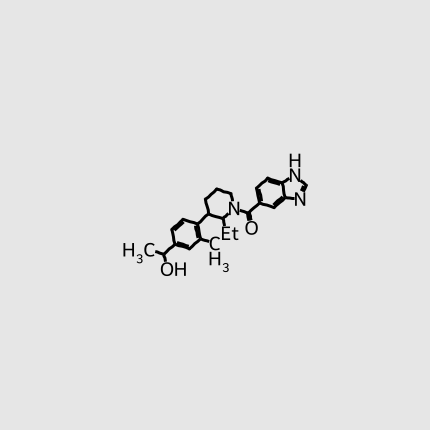 CCC1C(c2ccc(C(C)O)cc2C)CCCN1C(=O)c1ccc2[nH]cnc2c1